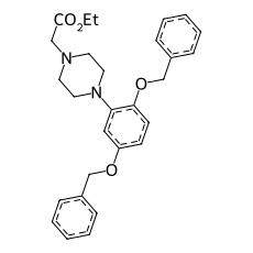 CCOC(=O)CN1CCN(c2cc(OCc3ccccc3)ccc2OCc2ccccc2)CC1